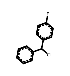 Fc1ccc(C(Cl)c2ccccc2)cc1